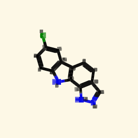 Clc1ccc2[nH]c3c(ccc4cn[nH]c43)c2c1